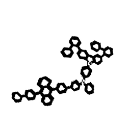 c1ccc(-c2ccc(-c3c4ccccc4c(-c4ccc(-c5ccc(N(c6ccccc6)c6ccc(-n7c8ccc(-c9ccccc9-c9ccccc9)cc8c8cc(-c9ccccc9-c9ccccc9)ccc87)cc6)cc5)cc4)c4ccccc34)cc2)cc1